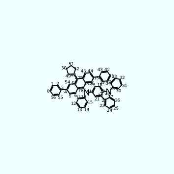 c1ccc(-c2ccc3c(N(c4ccccc4)c4ccc5c(c4)c4ccccc4n5-c4ccccc4)c4cc(-c5ccccc5)ccc4c(C4CCCC4)c3c2)cc1